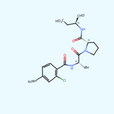 CC(=O)Nc1ccc(C(=O)N[C@H](C(=O)N2CCC[C@H]2C(=O)N[C@H](C=O)CC(=O)O)C(C)(C)C)c(Cl)c1